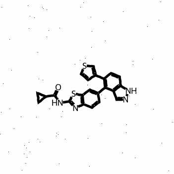 O=C(Nc1nc2ccc(-c3c(-c4ccsc4)ccc4[nH]ncc34)cc2s1)C1CC1